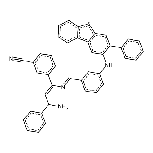 N#Cc1cccc(C(=C/C(N)c2ccccc2)/N=C/c2cccc(Nc3cc4c(cc3-c3ccccc3)sc3ccccc34)c2)c1